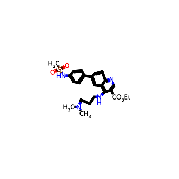 CCOC(=O)c1cnc2ccc(-c3ccc(NS(C)(=O)=O)cc3)cc2c1NCCCN(C)C